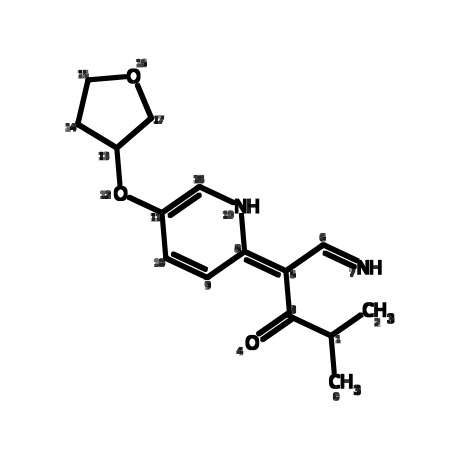 CC(C)C(=O)/C(C=N)=C1\C=CC(OC2CCOC2)=CN1